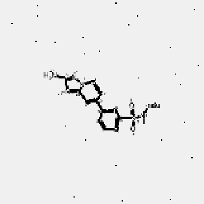 CCCCNS(=O)(=O)c1cccc(-c2ccn3nc(N)nc3c2)c1